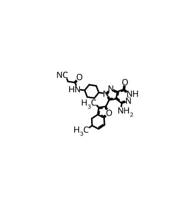 Cc1c(-c2c3c(N)n[nH]c(=O)c3nn2C2CCC(NC(=O)CC#N)CC2)oc2c1CC(C)C=C2